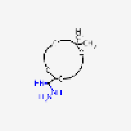 CC1(C)CCCCCCCC(C(=N)NN)CCCCCC1